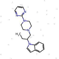 CCC(CN1CCN(c2ncccn2)CC1)n1ccc2ccccc21